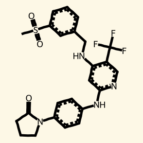 CS(=O)(=O)c1cccc(CNc2cc(Nc3ccc(N4CCCC4=O)cc3)ncc2C(F)(F)F)c1